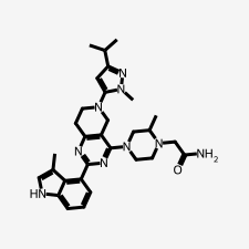 Cc1c[nH]c2cccc(-c3nc4c(c(N5CCN(CC(N)=O)C(C)C5)n3)CN(c3cc(C(C)C)nn3C)CC4)c12